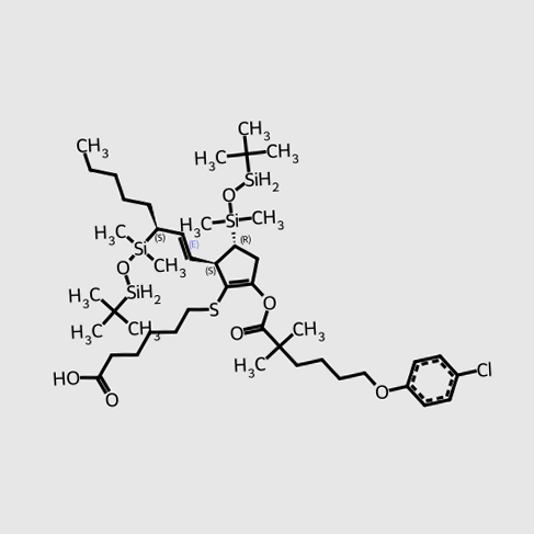 CCCCC[C@@H](/C=C/[C@@H]1C(SCCCCCC(=O)O)=C(OC(=O)C(C)(C)CCCCOc2ccc(Cl)cc2)C[C@H]1[Si](C)(C)O[SiH2]C(C)(C)C)[Si](C)(C)O[SiH2]C(C)(C)C